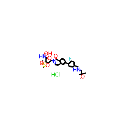 COC(C)(C)CNCc1ccc(-c2ccc3c(=O)n(CC[C@](C)(C(=O)NO)S(C)(=O)=O)ccc3c2)c(F)c1.Cl